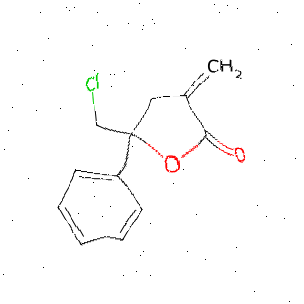 C=C1CC(CCl)(c2ccccc2)OC1=O